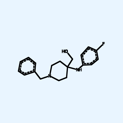 OCC1(Nc2ccc(F)cc2)CCN(Cc2ccccc2)CC1